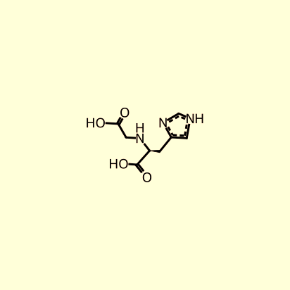 O=C(O)CN[C@@H](Cc1c[nH]cn1)C(=O)O